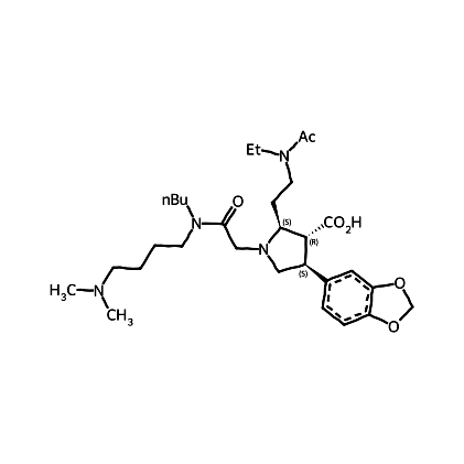 CCCCN(CCCCN(C)C)C(=O)CN1C[C@H](c2ccc3c(c2)OCO3)[C@@H](C(=O)O)[C@@H]1CCN(CC)C(C)=O